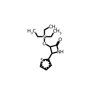 CC[Si](CC)(CC)OC1C(=O)NC1c1cccs1